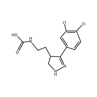 O=C(O)NCCC1CNN=C1c1ccc(Cl)c(Cl)c1